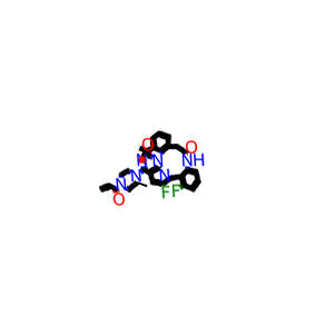 C=CC(=O)N1CCN(c2nc(=O)n3c4nc(c(F)cc24)-c2c(F)cccc2NC(=O)Cc2cccc(C(C)C)c2-3)[C@@H](C)C1